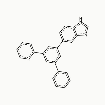 c1ccc(-c2cc(-c3ccccc3)cc(-c3ccc4[nH]cnc4c3)c2)cc1